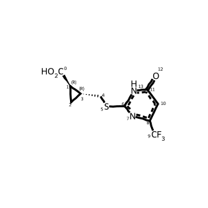 O=C(O)[C@@H]1C[C@H]1CSc1nc(C(F)(F)F)cc(=O)[nH]1